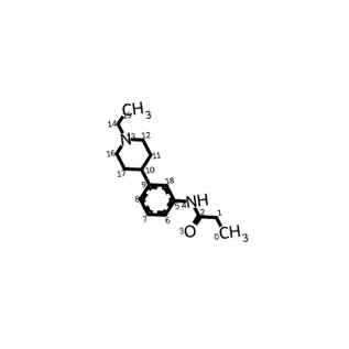 CCC(=O)Nc1cccc(C2CCN(CC)CC2)c1